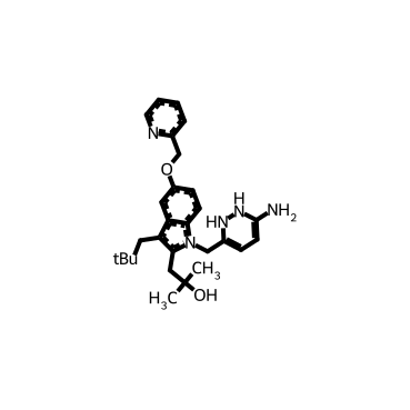 CC(C)(C)Cc1c(CC(C)(C)O)n(CC2=CC=C(N)NN2)c2ccc(OCc3ccccn3)cc12